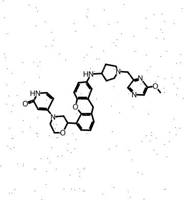 COc1cncc(CN2CCC(Nc3ccc4c(c3)Cc3cccc(C5CN(c6cc[nH]c(=O)c6)CCO5)c3O4)CC2)n1